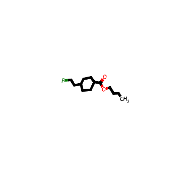 CCCCOC(=O)C1CCC(CCF)CC1